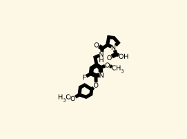 COc1nc(OC2CCC(OC)CC2)c(F)cc1CNC(=O)C1CCCN1C(=O)O